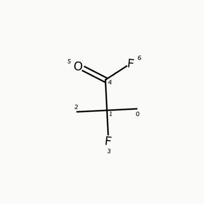 CC(C)(F)C(=O)F